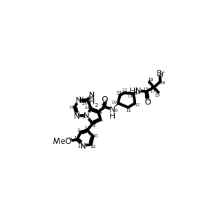 COc1cc(-c2cc(C(=O)N[C@H]3CC[C@H](NC(=O)C(C)(C)CBr)CC3)c3c(N)ncnn23)ccn1